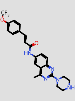 Cc1nc(N2CCNCC2)nc2ccc(NC(=O)C=Cc3ccc(OC(F)(F)F)cc3)cc12